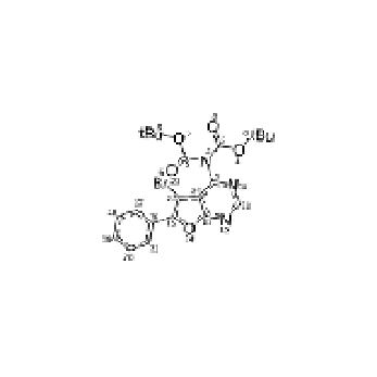 CC(C)(C)OC(=O)N(C(=O)OC(C)(C)C)c1ncnc2oc(-c3ccccc3)c(Br)c12